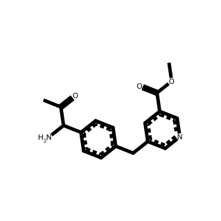 COC(=O)c1cncc(Cc2ccc(C(N)C(C)=O)cc2)c1